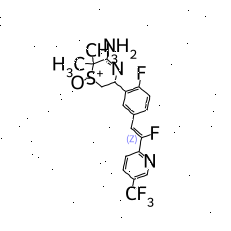 CC1(C)C(N)=NC(c2cc(/C=C(\F)c3ccc(C(F)(F)F)cn3)ccc2F)C[S+]1[O-]